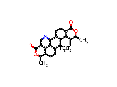 C=c1oc(=O)c2ccc3c4ncc5c(=O)oc(=C)c6ccc(c(=C)c3c2/c1=C\C)c4c65